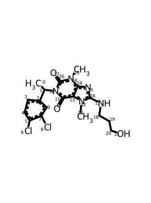 CC(c1ccc(Cl)c(Cl)c1)n1c(=O)c2c(nc(NCCCO)n2C)n(C)c1=O